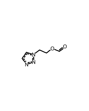 O=COCCn1ccnn1